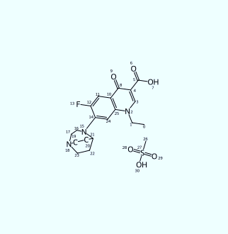 CCn1cc(C(=O)O)c(=O)c2cc(F)c(N3CCN4CCC3CC4)cc21.CS(=O)(=O)O